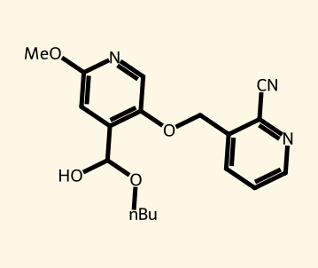 CCCCOC(O)c1cc(OC)ncc1OCc1cccnc1C#N